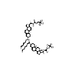 C[C@H](NC(=O)OCC(Cl)(Cl)Cl)[C@H]1CCC2C3CC=C4C[C@@H](C(CCCCCI)OC(CCCCCI)[C@H]5CC[C@@]6(C)C(=CCC7C6CC[C@@]6(C)C7CC[C@@H]6[C@H](C)NC(=O)OCC(Cl)(Cl)Cl)C5)CC[C@]4(C)C3CC[C@@]21C